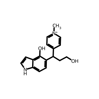 C[n+]1ccc(C(CCO)c2ccc3[nH]ccc3c2O)cc1